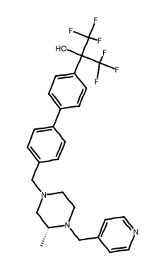 C[C@@H]1CN(Cc2ccc(-c3ccc(C(O)(C(F)(F)F)C(F)(F)F)cc3)cc2)CCN1Cc1ccncc1